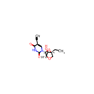 C#Cc1cn([C@@H]2O[C@]3(CC)CO[C@@H]2C3O)c(=O)[nH]c1=O